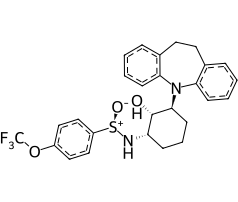 [O-][S@@+](N[C@H]1CCC[C@H](N2c3ccccc3CCc3ccccc32)[C@H]1O)c1ccc(OC(F)(F)F)cc1